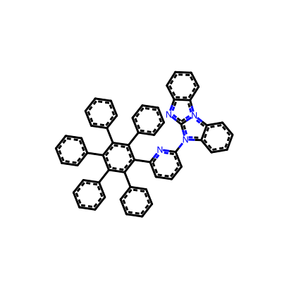 c1ccc(-c2c(-c3ccccc3)c(-c3ccccc3)c(-c3cccc(-n4c5ccccc5n5c6ccccc6nc45)n3)c(-c3ccccc3)c2-c2ccccc2)cc1